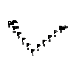 [Ba+2].[F-].[F-].[F-].[F-].[F-].[F-].[F-].[F-].[Gd+3].[Y+3]